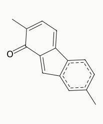 CC1=CC=C2C(=Cc3cc(C)ccc32)C1=O